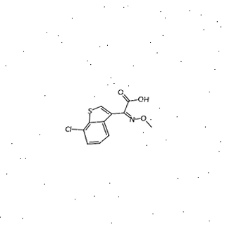 CON=C(C(=O)O)c1csc2c(Cl)cccc12